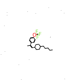 CCCCCC1CCC(C=C(C)c2ccc(OC(F)(F)F)cc2)CC1